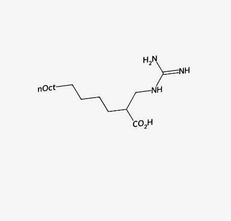 CCCCCCCCCCCCC(CNC(=N)N)C(=O)O